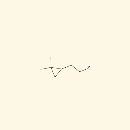 CC1(C)CC1CCF